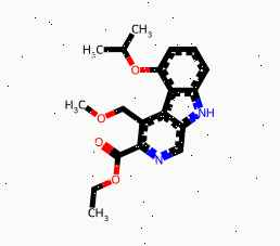 CCOC(=O)c1ncc2[nH]c3cccc(OC(C)C)c3c2c1COC